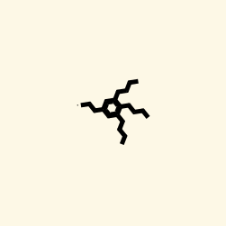 [CH2]CCc1cc(CCCC)c(CCCC)c(CCCC)c1